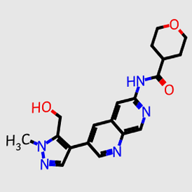 Cn1ncc(-c2cnc3cnc(NC(=O)C4CCOCC4)cc3c2)c1CO